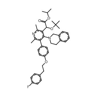 Cc1nc(C)c(C(OC(C)(C)C)C(=O)OC(C)C)c(N2CCc3ccccc3C2)c1-c1ccc(OCCc2ccc(F)cc2)cc1